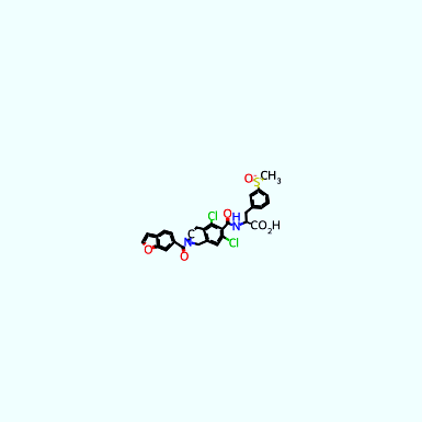 C[S+]([O-])c1cccc(C[C@H](NC(=O)c2c(Cl)cc3c(c2Cl)CCN(C(=O)c2ccc4ccoc4c2)C3)C(=O)O)c1